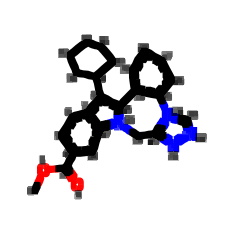 COC(=O)c1ccc2c(C3CCCCC3)c3n(c2c1)Cc1nncn1-c1ccccc1-3